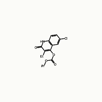 CCc1c(OC(=O)OC(C)C)c2cc(Cl)ccc2[nH]c1=O